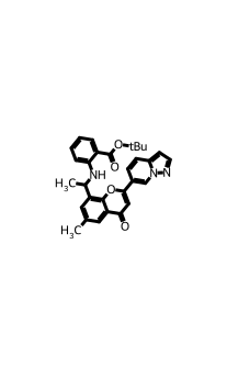 Cc1cc(C(C)Nc2ccccc2C(=O)OC(C)(C)C)c2oc(-c3ccc4ccnn4c3)cc(=O)c2c1